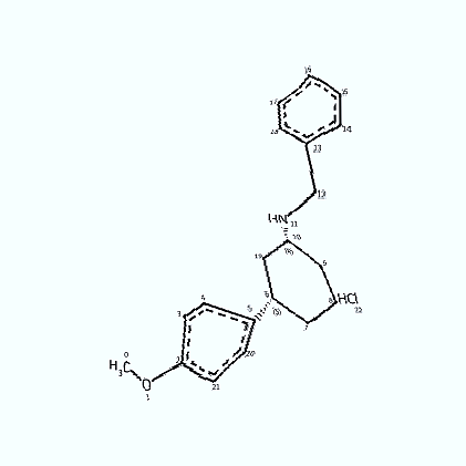 COc1ccc([C@H]2CCC[C@@H](NCc3ccccc3)C2)cc1.Cl